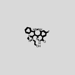 O=c1[nH]nc2c3c(cc(F)cc13)NNC(c1ccccc1)C2c1ncnn1CCO